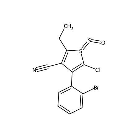 CCC1=C(C#N)C(c2ccccc2Br)=C(Cl)S1=S=O